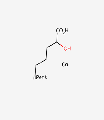 CCCCCCCCC(O)C(=O)O.[Co]